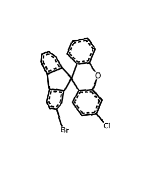 Clc1ccc2c(c1)Oc1ccccc1C21c2ccccc2-c2ccc(Br)cc21